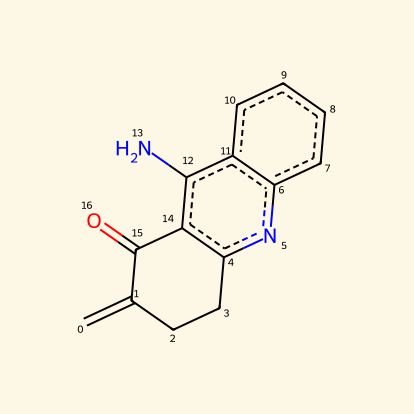 C=C1CCc2nc3ccccc3c(N)c2C1=O